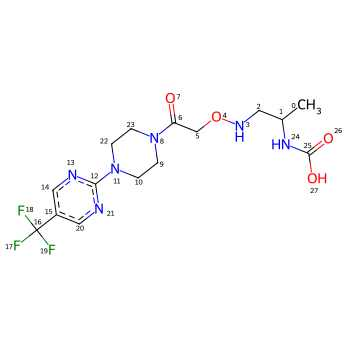 CC(CNOCC(=O)N1CCN(c2ncc(C(F)(F)F)cn2)CC1)NC(=O)O